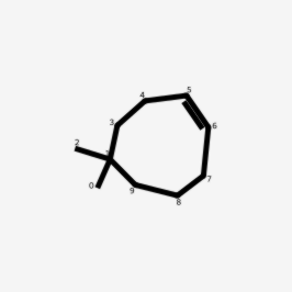 CC1(C)CC/C=C\CCC1